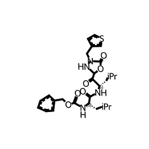 CC(C)C[C@H](NC(=O)OCc1ccccc1)C(=O)N[C@@H](CC(C)C)C(=O)C1NN(Cc2ccsc2)C(=O)O1